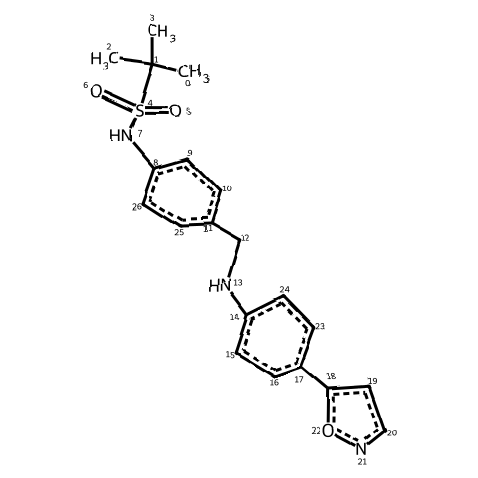 CC(C)(C)S(=O)(=O)Nc1ccc(CNc2ccc(-c3ccno3)cc2)cc1